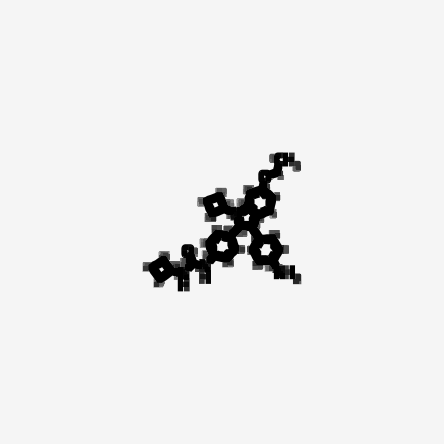 CCOc1ccc2c(-c3ccc(N)cc3)c(-c3ccc(NC(=O)NC4CCC4)cc3)n(C3CCC3)c2c1